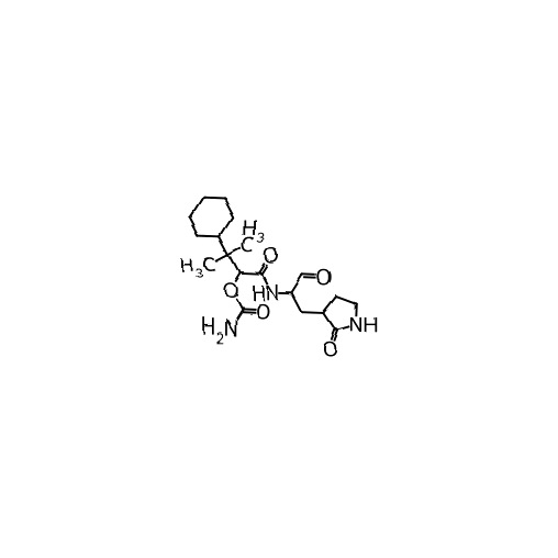 CC(C)(C1CCCCC1)C(OC(N)=O)C(=O)NC(C=O)CC1CCNC1=O